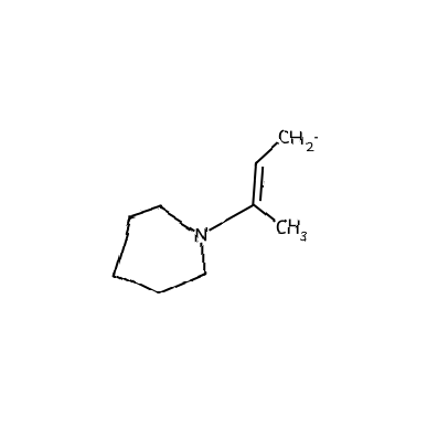 [CH2]C=C(C)N1CCCCC1